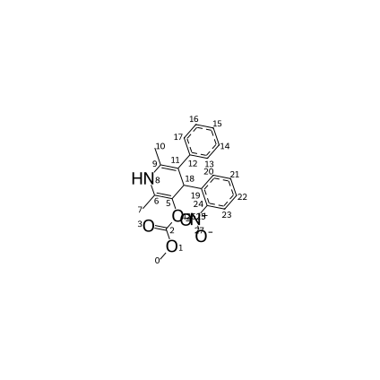 COC(=O)OC1=C(C)NC(C)=C(c2ccccc2)C1c1ccccc1[N+](=O)[O-]